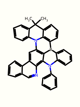 CC1(C)c2ccccc2N2c3cc4c(ncc5ccccc54)c4c3B(c3ccccc3N4c3ccccc3)c3cccc1c32